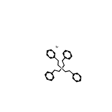 [Br-].c1ccc(CC[N+](CCc2ccccc2)(CCc2ccccc2)CCc2ccccc2)cc1